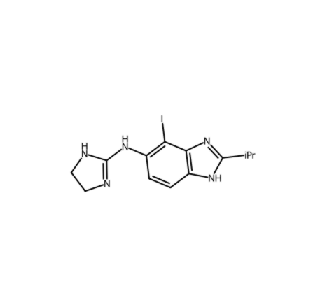 CC(C)c1nc2c(I)c(NC3=NCCN3)ccc2[nH]1